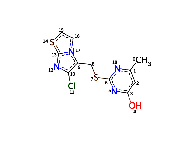 Cc1cc(O)nc(SCc2c(Cl)nc3sccn23)n1